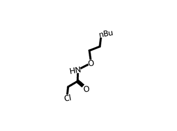 CCCCCCONC(=O)CCl